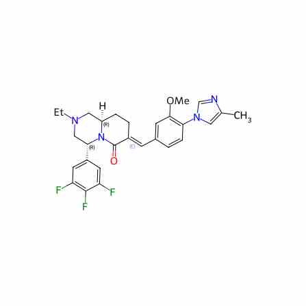 CCN1C[C@H]2CC/C(=C\c3ccc(-n4cnc(C)c4)c(OC)c3)C(=O)N2[C@H](c2cc(F)c(F)c(F)c2)C1